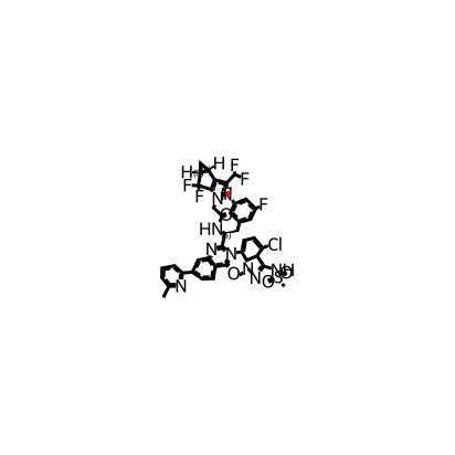 Cc1cccc(-c2ccc3c(=O)n(C4=CC=C(Cl)C5C(NS(C)(=O)=O)=NN(C)C45)c([C@H](Cc4cc(F)cc(F)c4)NC(=O)Cn4nc(C(F)F)c5c4C(F)(F)[C@@H]4C[C@H]54)nc3c2)n1